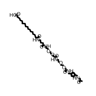 CC(=O)CNCc1ccc(CNC(=O)COCCOCCNC(=O)COCCOCCNC(=O)CCCNC(=O)CCCCCCCCCCCCCCCS(=O)O)cc1